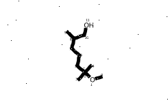 COC(C)(C)CCCC(C)CO